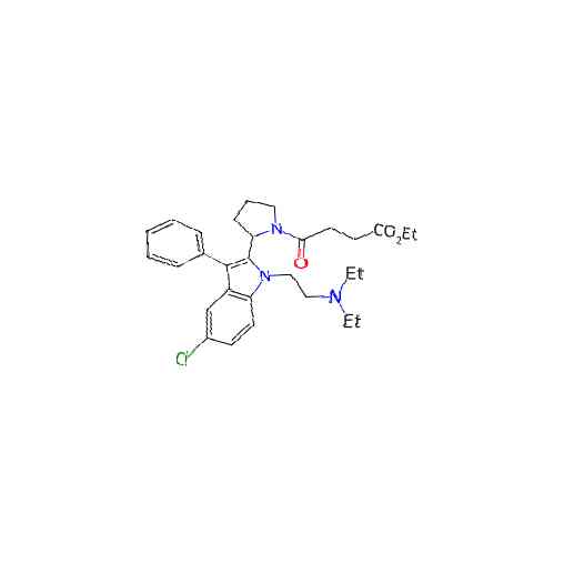 CCOC(=O)CCC(=O)N1CCCC1c1c(-c2ccccc2)c2cc(Cl)ccc2n1CCN(CC)CC